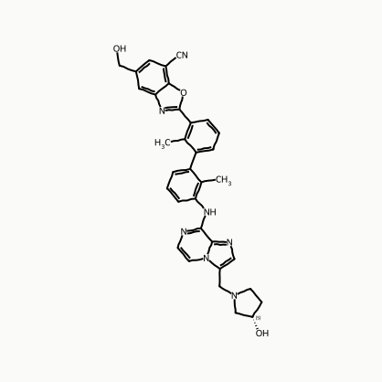 Cc1c(Nc2nccn3c(CN4CC[C@H](O)C4)cnc23)cccc1-c1cccc(-c2nc3cc(CO)cc(C#N)c3o2)c1C